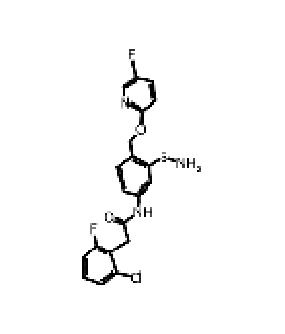 NSc1cc(NC(=O)Cc2c(F)cccc2Cl)ccc1COc1ccc(F)cn1